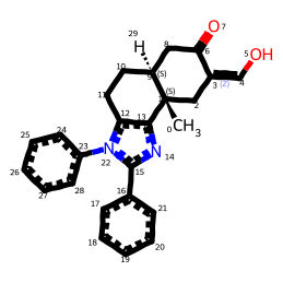 C[C@]12C/C(=C/O)C(=O)C[C@@H]1CCc1c2nc(-c2ccccc2)n1-c1ccccc1